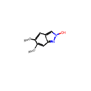 COc1cc2cn(O)nc2cc1OC